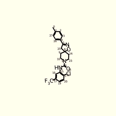 Cc1ccc(C2=NOC3(CCN(C(=O)Nc4cc(C(F)(F)F)ccc4Cl)CC3)C2)cc1